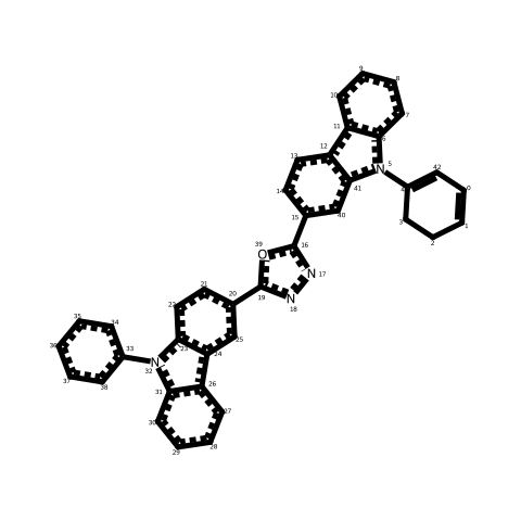 C1=CCCC(n2c3ccccc3c3ccc(-c4nnc(-c5ccc6c(c5)c5ccccc5n6-c5ccccc5)o4)cc32)=C1